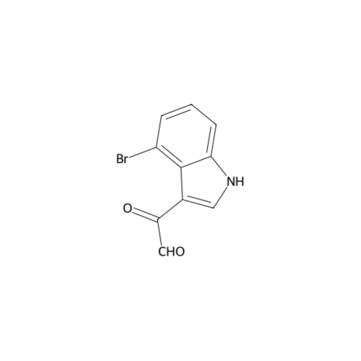 O=CC(=O)c1c[nH]c2cccc(Br)c12